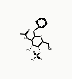 CC(=O)NC1C(Oc2ccccc2)OC(CO)[C@H](OS(=O)(=O)O)[C@@H]1O